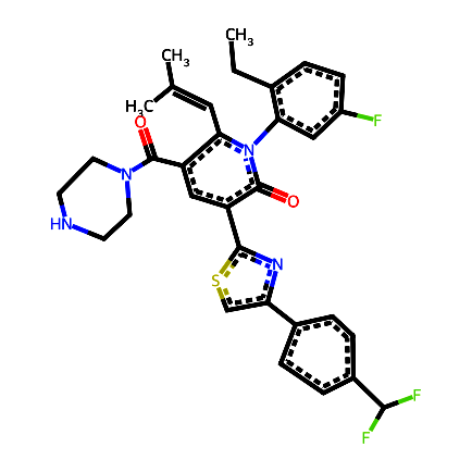 CCc1ccc(F)cc1-n1c(C=C(C)C)c(C(=O)N2CCNCC2)cc(-c2nc(-c3ccc(C(F)F)cc3)cs2)c1=O